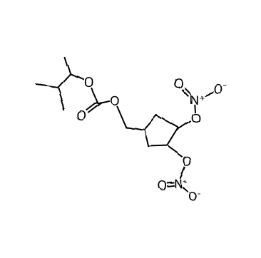 CC(C)C(C)OC(=O)OCC1CC(O[N+](=O)[O-])C(O[N+](=O)[O-])C1